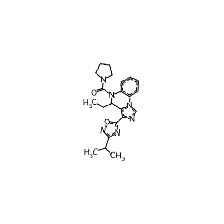 CCC1c2c(-c3nc(C(C)C)no3)ncn2-c2ccccc2N1C(=O)N1CCCC1